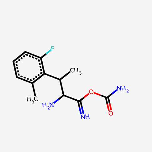 Cc1cccc(F)c1C(C)C(N)C(=N)OC(N)=O